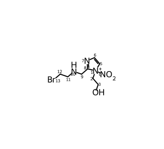 O=[N+]([O-])[N+]1(CCO)C=CN=C1CNCCBr